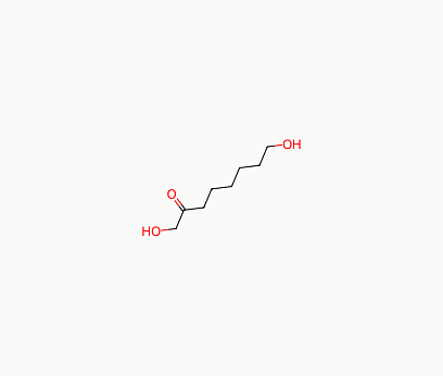 O=C(CO)CCCCCCO